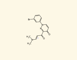 CN(C)/C=C/C(=O)c1nn(-c2cccc(Br)c2)ccc1=O